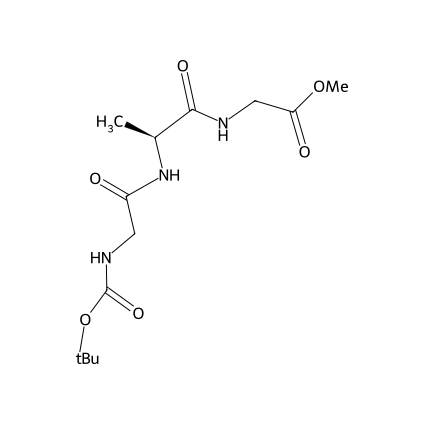 COC(=O)CNC(=O)[C@H](C)NC(=O)CNC(=O)OC(C)(C)C